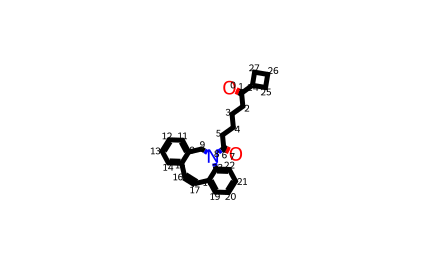 O=C(CCCCC(=O)N1Cc2ccccc2C#Cc2ccccc21)C1CCC1